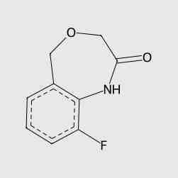 O=C1COCc2cccc(F)c2N1